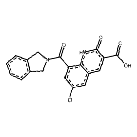 O=C(O)c1cc2cc(Cl)cc(C(=O)N3Cc4ccccc4C3)c2[nH]c1=O